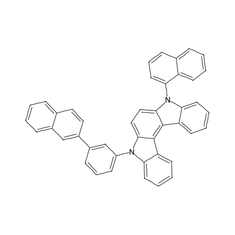 c1cc(-c2ccc3ccccc3c2)cc(-n2c3ccccc3c3c4c5ccccc5n(-c5cccc6ccccc56)c4ccc32)c1